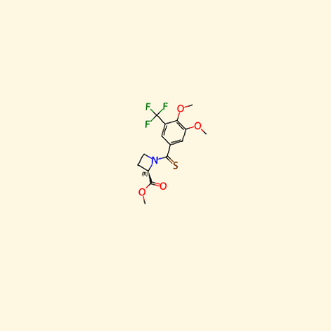 COC(=O)[C@H]1CCN1C(=S)c1cc(OC)c(OC)c(C(F)(F)F)c1